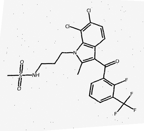 Cc1c(C(=O)c2cccc(C(F)(F)F)c2F)c2ccc(Cl)c(Cl)c2n1CCCNS(C)(=O)=O